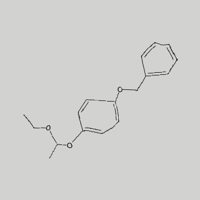 CCOC(C)Oc1ccc(OCc2ccccc2)cc1